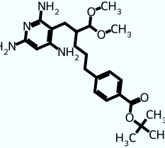 COC(OC)C(CCCc1ccc(C(=O)OC(C)(C)C)cc1)Cc1c(N)cc(N)nc1N